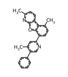 Cc1ccc2c(n1)oc1c(-c3cc(C)c(-c4ccccc4)cn3)ccc(C)c12